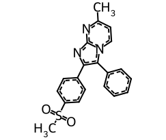 Cc1ccn2c(-c3ccccc3)c(-c3ccc(S(C)(=O)=O)cc3)nc2n1